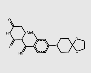 CNc1cc(N2CCC3(CC2)OCCO3)ccc1C(=N)N1CCC(=O)NC1=O